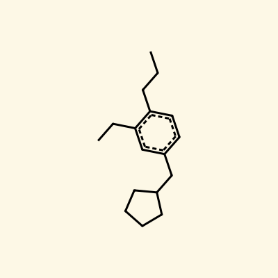 CCCc1ccc(CC2CCCC2)cc1CC